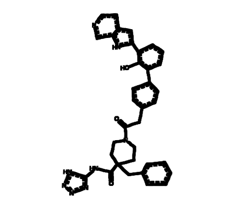 O=C(Cc1ccc(-c2cccc(-c3cc4ccncc4[nH]3)c2O)cc1)N1CCC(Cc2ccccc2)(C(=O)Nc2nnn[nH]2)CC1